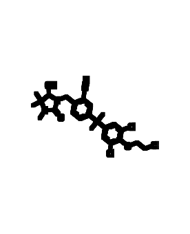 CN1C(=O)N(Cc2ccc(C(C)(C)c3cc(Cl)c(OCCCl)c(Cl)c3)cc2C#N)C(O)C1(C)C